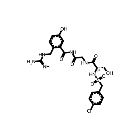 N=C(N)N[CH]c1ccc(O)cc1C(=O)NC(=O)CNC(=O)[C@H](CO)NS(=O)(=O)Cc1ccc(Cl)cc1